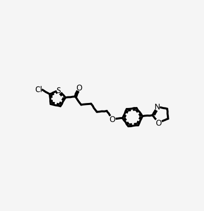 O=C(CCCCOc1ccc(C2=NCCO2)cc1)c1ccc(Cl)s1